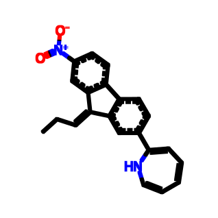 CCC=C1c2cc(C3=CC=CC=CN3)ccc2-c2ccc([N+](=O)[O-])cc21